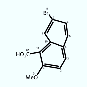 COc1ccc2ccc(Br)cc2c1C(=O)O